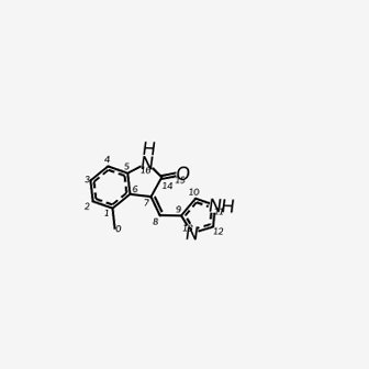 Cc1cccc2c1C(=Cc1c[nH]cn1)C(=O)N2